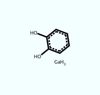 Oc1ccccc1O.[GaH3]